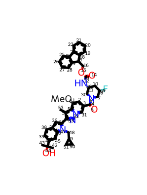 COc1cc(C(=O)N2C[C@H](F)C[C@@H](NC(=O)OCC3c4ccccc4-c4ccccc43)C2)cn2nc(-c3cc4ccc(C(C)(C)O)cc4n3CC3CC3)c(C)c12